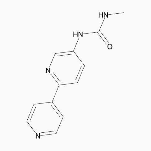 CNC(=O)Nc1ccc(-c2ccncc2)nc1